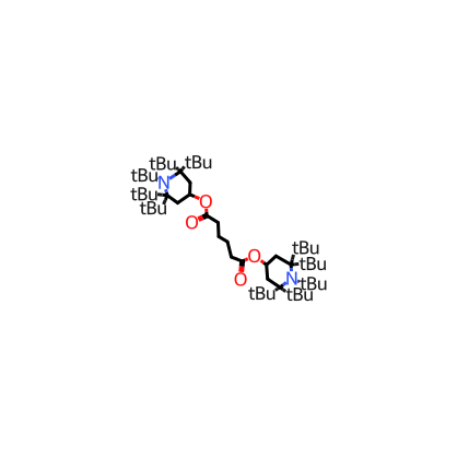 CC(C)(C)N1C(C(C)(C)C)(C(C)(C)C)CC(OC(=O)CCCCC(=O)OC2CC(C(C)(C)C)(C(C)(C)C)N(C(C)(C)C)C(C(C)(C)C)(C(C)(C)C)C2)CC1(C(C)(C)C)C(C)(C)C